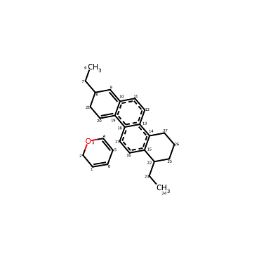 C1=CCOC=C1.CCC1C=c2ccc3c4c(ccc3c2=CC1)C(CC)CCC4